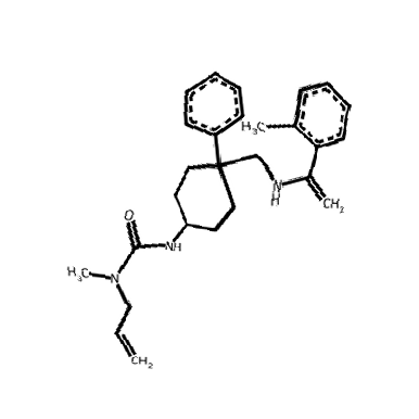 C=CCN(C)C(=O)NC1CCC(CNC(=C)c2ccccc2C)(c2ccccc2)CC1